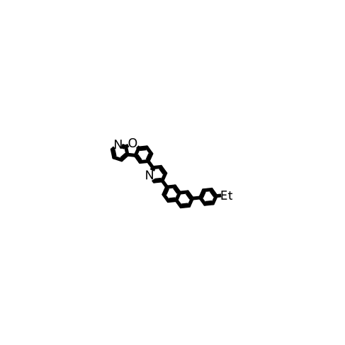 CCc1ccc(-c2ccc3ccc(-c4ccc(-c5ccc6oc7ncccc7c6c5)nc4)cc3c2)cc1